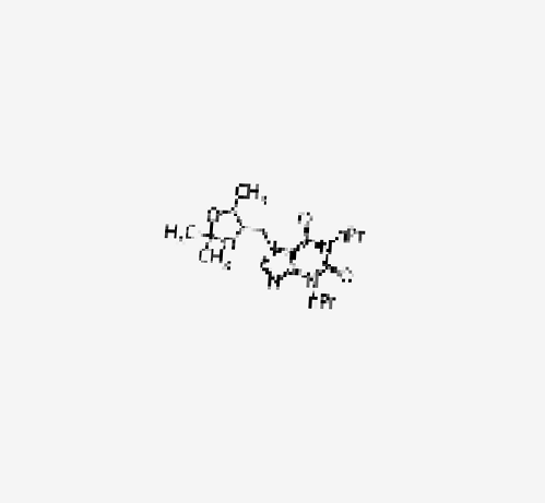 CCCn1c(=O)c2c(ncn2CC2OC(C)(C)OC2C)n(CCC)c1=O